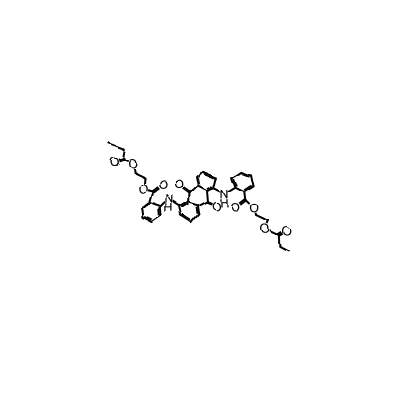 CCC(=O)OCCOC(=O)c1ccccc1Nc1cccc2c1C(=O)c1cccc(Nc3ccccc3C(=O)OCCOC(=O)CC)c1C2=O